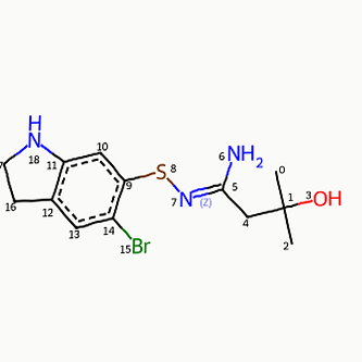 CC(C)(O)C/C(N)=N/Sc1cc2c(cc1Br)CCN2